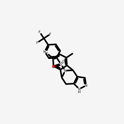 Cc1cc(F)cc2c1C1c3cn[nH]c3CC2N1S(=O)(=O)c1ccc(C(F)(F)F)nc1